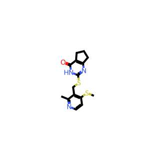 CSc1ccnc(C)c1CSc1nc2c(c(=O)[nH]1)CCC2